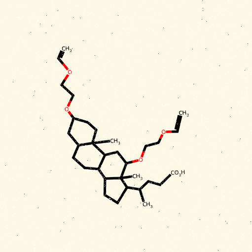 C=COCCOC1CCC2(C)C(CCC3C2CC(OCCOC=C)C2(C)C(C(C)CCC(=O)O)CCC32)C1